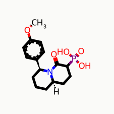 COc1ccc([C@@H]2CCC[C@@H]3CCC(P(=O)(O)O)C(=O)N32)cc1